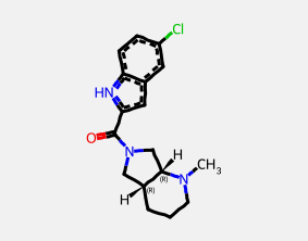 CN1CCC[C@@H]2CN(C(=O)c3cc4cc(Cl)ccc4[nH]3)C[C@@H]21